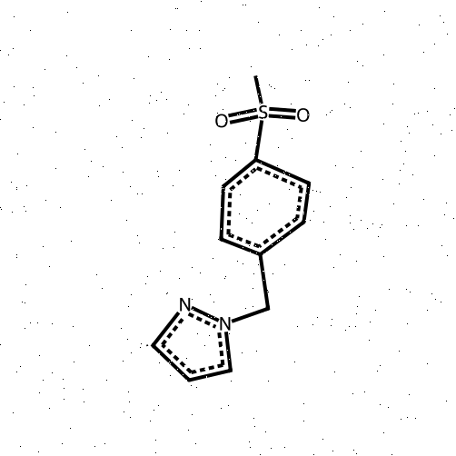 CS(=O)(=O)c1ccc(Cn2cc[c]n2)cc1